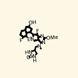 CCc1c(F)ccc2cc(O)cc(-c3ncc4c(N(C)CC5CN[S+]([O-])N5)nc(OC)nc4c3F)c12